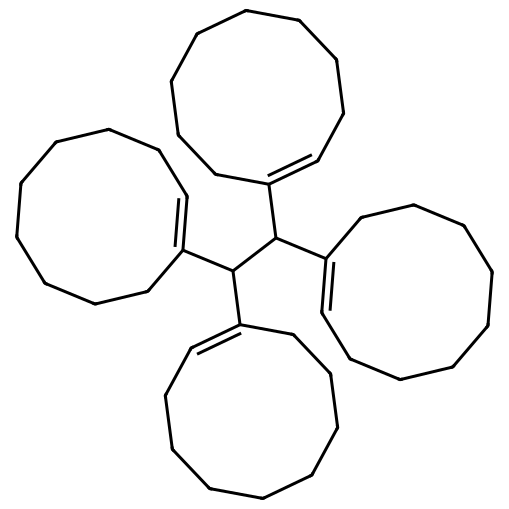 C1=C(C(C2=CCCCCCCCC2)C(C2=CCCCCCCCC2)C2=CCCCCCCCC2)CCCCCCCC1